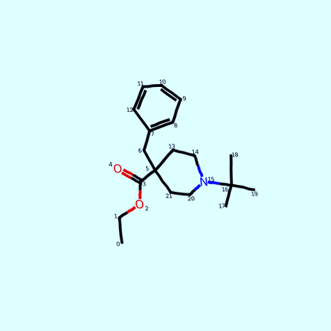 CCOC(=O)C1(Cc2ccccc2)CCN(C(C)(C)C)CC1